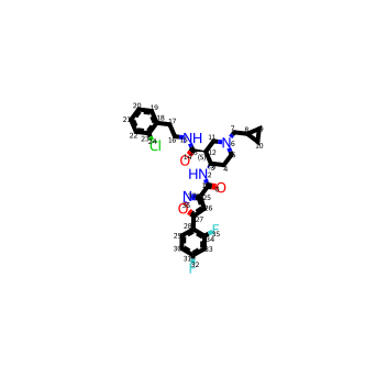 O=C(N[C@H]1CCN(CC2CC2)C[C@@H]1C(=O)NCCc1ccccc1Cl)c1cc(-c2ccc(F)cc2F)on1